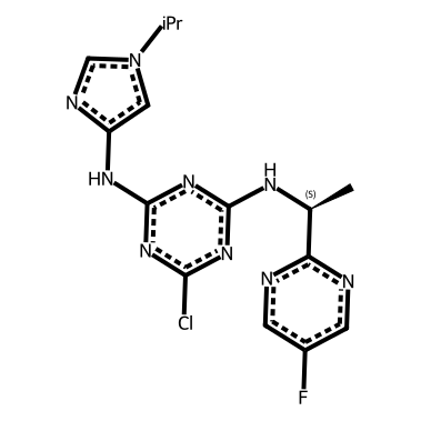 CC(C)n1cnc(Nc2nc(Cl)nc(N[C@@H](C)c3ncc(F)cn3)n2)c1